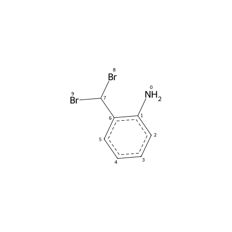 Nc1ccccc1C(Br)Br